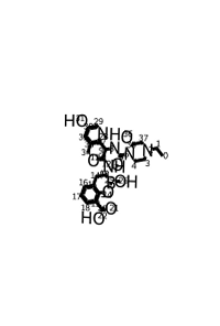 CCN1CCN(C(=O)NC(C(=O)N[C@H]2Cc3cccc(C(=O)O)c3OB2O)c2ncc(O)cc2C)C(=O)C1